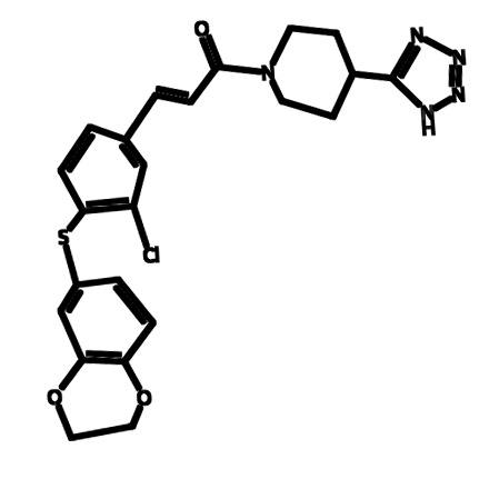 O=C(C=Cc1ccc(Sc2ccc3c(c2)OCCO3)c(Cl)c1)N1CCC(c2nnn[nH]2)CC1